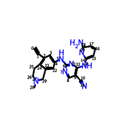 C#Cc1cc(Nc2ncc(C#N)c(Nc3cccc(N)n3)n2)cc2c1CCN(C)C2